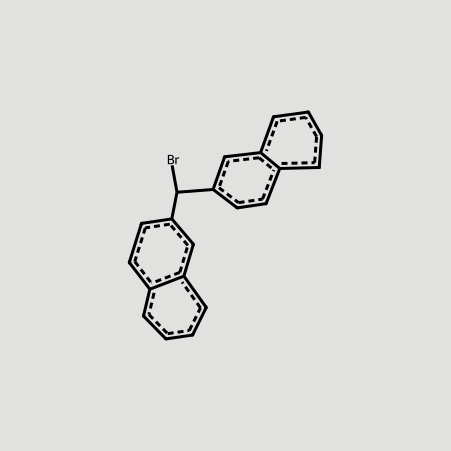 BrC(c1ccc2ccccc2c1)c1ccc2ccccc2c1